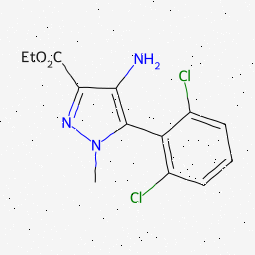 CCOC(=O)c1nn(C)c(-c2c(Cl)cccc2Cl)c1N